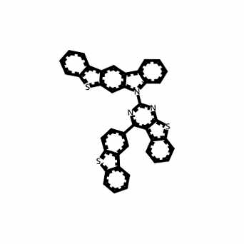 c1ccc2c(c1)sc1ccc(-c3nc(-n4c5ccccc5c5cc6c(cc54)sc4ccccc46)nc4sc5ccccc5c34)cc12